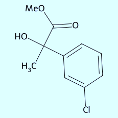 COC(=O)C(C)(O)c1cccc(Cl)c1